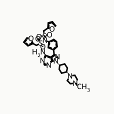 CN1CCN([C@H]2CC[C@@H](n3nc(-c4cccc(N(S(=O)(=O)Cc5ccco5)S(=O)(=O)Cc5ccco5)c4)c4c(N)ncnc43)CC2)CC1